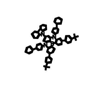 CC(C)(C)c1ccc(-c2ccc3c(c2)N(c2ccc(-c4ccccc4)cc2)c2cc(-n4c5ccccc5c5ccccc54)cc4c2B3c2ccc(-c3ccc(C(C)(C)C)cc3)cc2N4c2ccc(-c3ccccc3)cc2)cc1